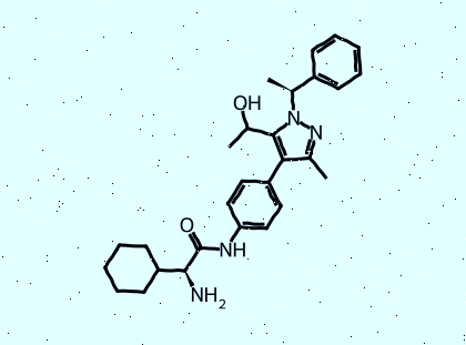 Cc1nn([C@@H](C)c2ccccc2)c(C(C)O)c1-c1ccc(NC(=O)[C@@H](N)C2CCCCC2)cc1